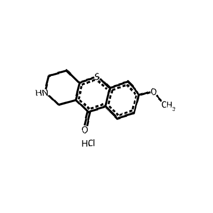 COc1ccc2c(=O)c3c(sc2c1)CCNC3.Cl